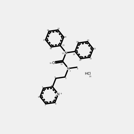 CN(CCc1ccccn1)C(=O)N(c1ccccc1)c1ccccc1.Cl